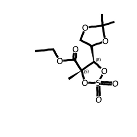 CCOC(=O)[C@@]1(C)OS(=O)(=O)O[C@@H]1C1COC(C)(C)O1